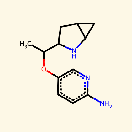 CC(Oc1ccc(N)nc1)C1CC2CC2N1